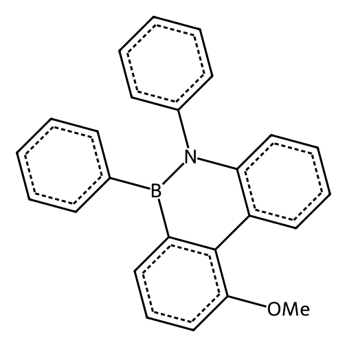 COc1cccc2c1-c1ccccc1N(c1ccccc1)B2c1ccccc1